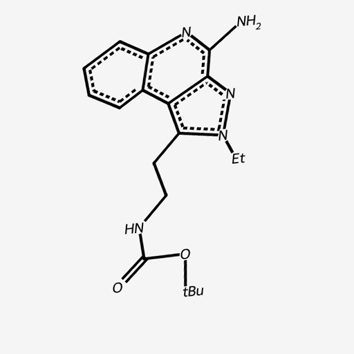 CCn1nc2c(N)nc3ccccc3c2c1CCNC(=O)OC(C)(C)C